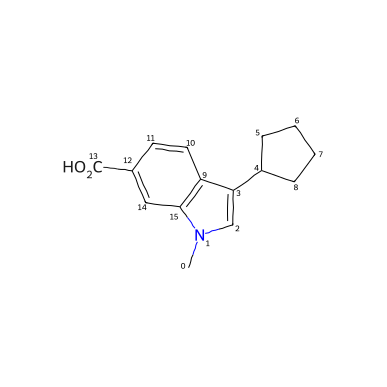 Cn1cc(C2CCCC2)c2ccc(C(=O)O)cc21